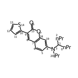 CCCC(CCC)N(c1ccc2cc(-c3cccs3)c(=O)oc2c1)C(C)C